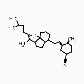 C=C1CCC(C#N)C/C1=C\CC1CCCC2(C)C(C(C)CCCC(C)C)CCC12